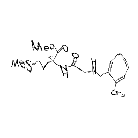 COC(=O)[C@H](CCSC)NC(=O)CNCc1ccccc1C(F)(F)F